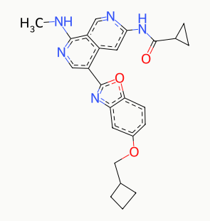 CNc1ncc(-c2nc3cc(OCC4CCC4)ccc3o2)c2cc(NC(=O)C3CC3)ncc12